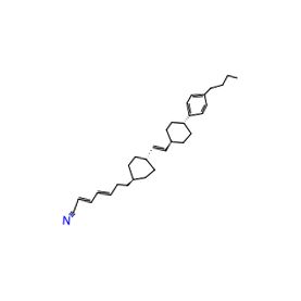 CCCCc1ccc([C@H]2CC[C@H](C=C[C@H]3CC[C@H](CCC=CC=CC#N)CC3)CC2)cc1